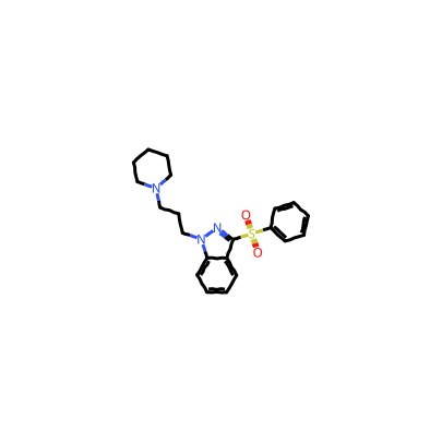 O=S(=O)(c1ccccc1)c1nn(CCCN2CCCCC2)c2ccccc12